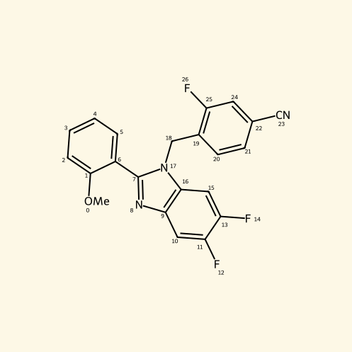 COc1ccccc1-c1nc2cc(F)c(F)cc2n1Cc1ccc(C#N)cc1F